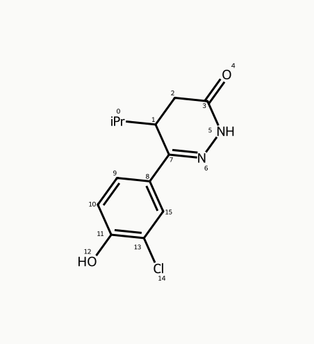 CC(C)C1CC(=O)NN=C1c1ccc(O)c(Cl)c1